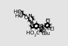 CC(C)(C)C(C(=O)O)N(c1ccc2c(ccn2N2C=CN=C(OCC(O)CO)C2)c1)S(=O)(=O)c1cc(Cl)cc(Cl)c1